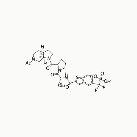 CC(=O)N1CC[C@H]2CCN(C(=O)C3CCCN3C(=O)C(NC(=O)c3cc4cc(C(F)(F)P(=O)(O)O)ccc4s3)C(C)(C)C)[C@H]2C1